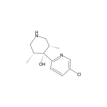 C[C@@H]1CNC[C@H](C)[C@@]1(O)c1ccc(Cl)cn1